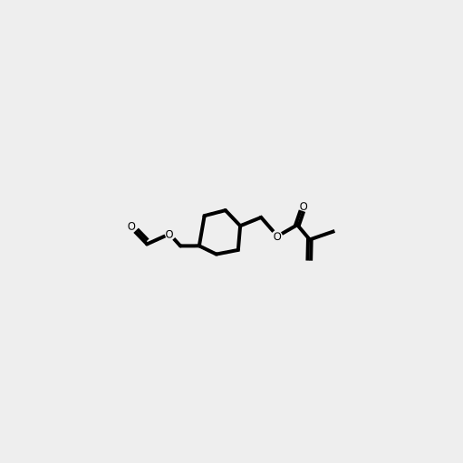 C=C(C)C(=O)OCC1CCC(COC=O)CC1